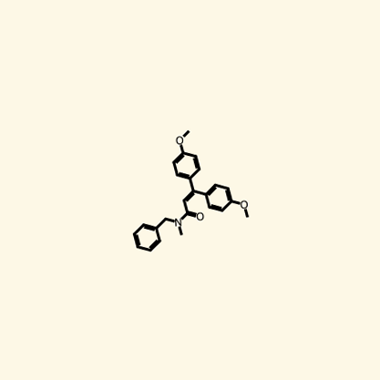 COc1ccc(C(=CC(=O)N(C)Cc2ccccc2)c2ccc(OC)cc2)cc1